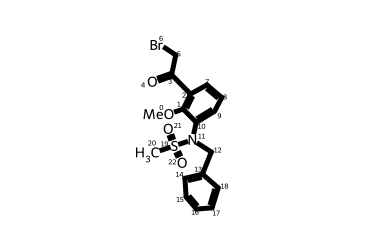 COc1c(C(=O)CBr)cccc1N(Cc1ccccc1)S(C)(=O)=O